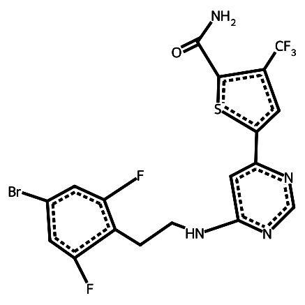 NC(=O)c1sc(-c2cc(NCCc3c(F)cc(Br)cc3F)ncn2)cc1C(F)(F)F